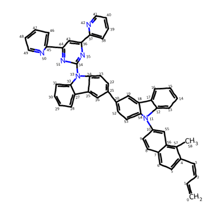 C=C/C=C\c1ccc2ccc(-n3c4ccccc4c4cc(-c5ccc6c(c5)c5ccccc5n6-c5nc(-c6ccccn6)cc(-c6ccccn6)n5)ccc43)cc2c1C